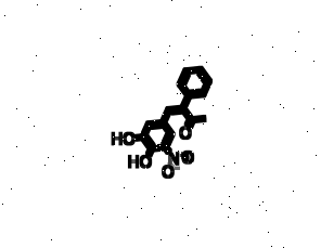 CC(=O)C(=Cc1cc(O)c(O)c([N+](=O)[O-])c1)c1ccccc1